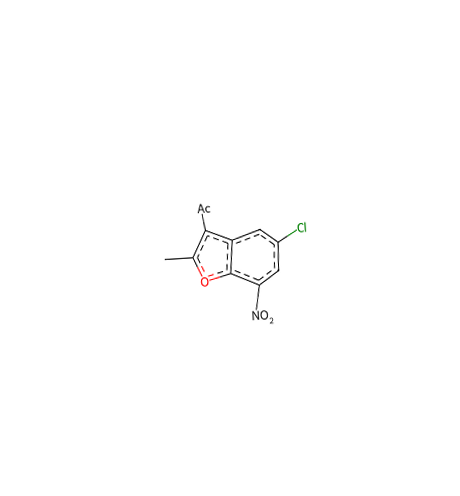 CC(=O)c1c(C)oc2c([N+](=O)[O-])cc(Cl)cc12